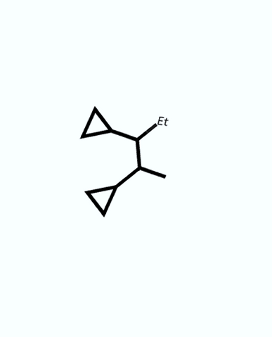 CCC([C](C)C1CC1)C1CC1